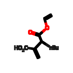 C=COC(=O)C(CCCC)C(=C)C(=O)O